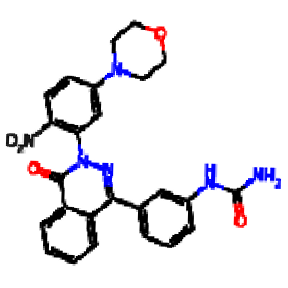 NC(=O)Nc1cccc(-c2nn(-c3cc(N4CCOCC4)ccc3[N+](=O)[O-])c(=O)c3ccccc23)c1